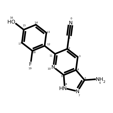 N#Cc1cc2c(N)n[nH]c2nc1-c1ccc(O)cc1F